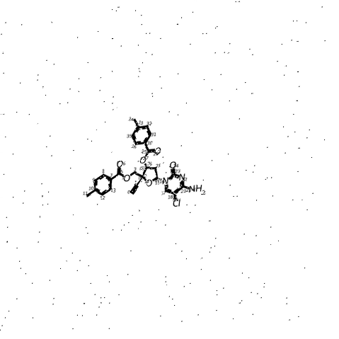 C#C[C@]1(COC(=O)c2ccc(C)cc2)O[C@@H](n2cc(Cl)c(N)nc2=O)C[C@@H]1OC(=O)c1ccc(C)cc1